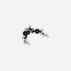 CCOC(=O)Cc1cccc2c1Cc1c-2[nH]c(=O)c2nc(-c3ccc(C(=O)OCC)cc3)cn12